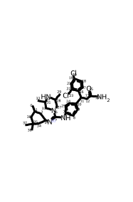 CC1CC(/N=C(/Nc2ccc(C(CC(N)=O)c3ccc(Cl)cc3Cl)cc2)N2CC(C)NC(C)C2)CC(C)(C)C1